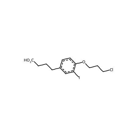 O=C(O)CCCc1ccc(OCCCCl)c(I)c1